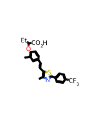 CCC(Oc1ccc(C=Cc2sc(-c3ccc(C(F)(F)F)cc3)nc2C)cc1C)C(=O)O